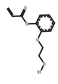 C=CC(=O)Oc1ccccc1OCCOCC